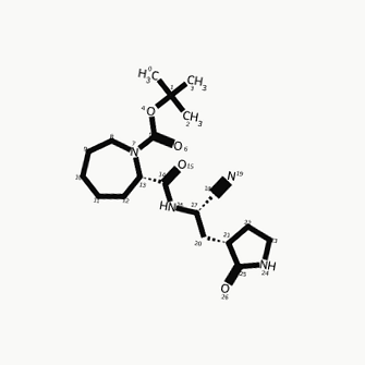 CC(C)(C)OC(=O)N1CCCCC[C@H]1C(=O)N[C@H](C#N)C[C@@H]1CCNC1=O